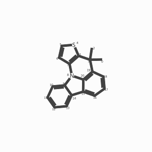 CC1(C)c2sccc2-n2c3ccccc3c3cccc1c32